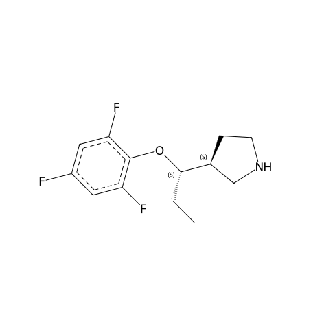 CC[C@H](Oc1c(F)cc(F)cc1F)[C@H]1CCNC1